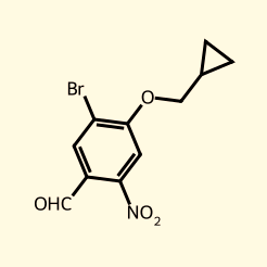 O=Cc1cc(Br)c(OCC2CC2)cc1[N+](=O)[O-]